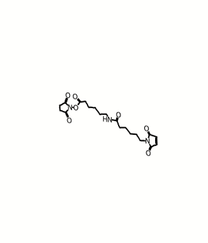 O=C(CCCCCN1C(=O)C=CC1=O)NCCCCCC(=O)ON1C(=O)CCC1=O